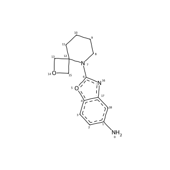 Nc1ccc2oc(N3CCCCC34COC4)nc2c1